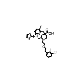 CC1CC(Cc2nc(Nc3nccs3)ccc2F)(C(=O)O)CCN1CCOCCc1cccc(Cl)c1F